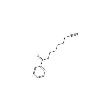 N#CCCCCCCC(=O)c1ccccc1